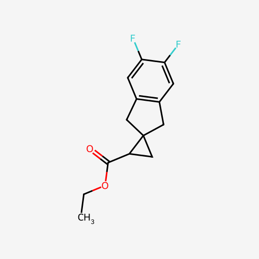 CCOC(=O)C1CC12Cc1cc(F)c(F)cc1C2